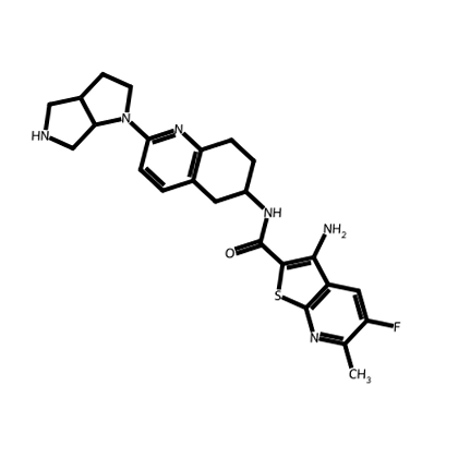 Cc1nc2sc(C(=O)NC3CCc4nc(N5CCC6CNCC65)ccc4C3)c(N)c2cc1F